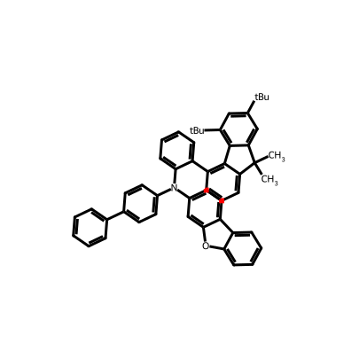 CC(C)(C)c1cc(C(C)(C)C)c2c(c1)C(C)(C)c1cccc(-c3ccccc3N(c3ccc(-c4ccccc4)cc3)c3ccc4c(c3)oc3ccccc34)c1-2